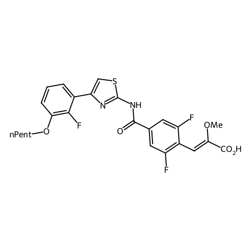 CCCCCOc1cccc(-c2csc(NC(=O)c3cc(F)c(/C=C(\OC)C(=O)O)c(F)c3)n2)c1F